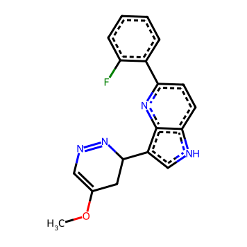 COC1=CN=NC(c2c[nH]c3ccc(-c4ccccc4F)nc23)C1